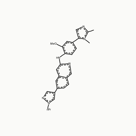 CCCn1cc(-c2ccc3cnc(Nc4ccc(-c5cnc(C)n5C)cc4OC)cc3c2)cn1